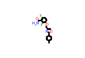 Cc1ccc(-c2nc(COc3ccc(F)c(C(N)=O)c3F)co2)cc1